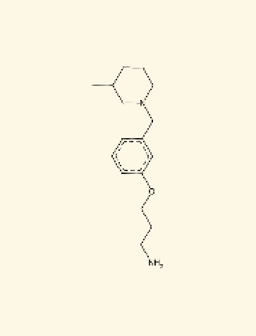 CC1CCCN(Cc2cccc(OCCCN)c2)C1